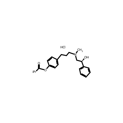 CC(C)C(=O)Oc1ccc(CCCN(C)C[C@@H](O)c2ccccc2)cc1.Cl